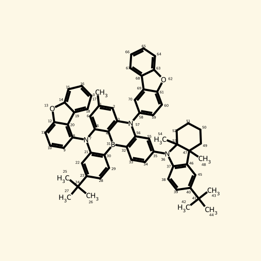 Cc1cc2c3c(c1)N(c1cccc4oc5ccccc5c14)c1cc(C(C)(C)C)ccc1B3c1ccc(N3c4ccc(C(C)(C)C)cc4C4(C)CCCCC34C)cc1N2c1ccc2oc3ccccc3c2c1